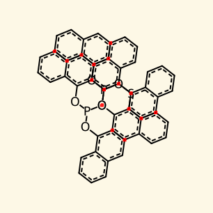 c1ccc2c(OP(Oc3ccc4ccccc4c3Sc3c(OP(Oc4cccc5ccccc45)Oc4cccc5ccccc45)ccc4ccccc34)Oc3cccc4ccccc34)cccc2c1